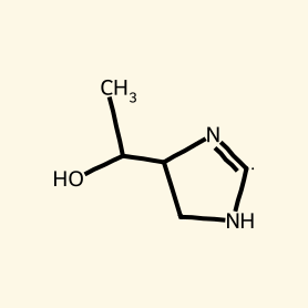 CC(O)C1CN[C]=N1